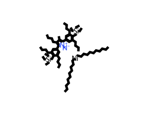 CCCCC1=C(c2cc(CCCC)c(C[Si](CC)(CC)CC)c(CCCC)c2)[N+](=[N-])C(c2cc(CCCC)c(C[Si](CC)(CC)CC)c(CCCC)c2)=C1C.CCCCCCCCCC[CH2][Ni][CH2]CCCCCCCCCC